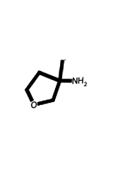 [CH2]C1(N)CCOC1